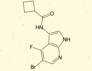 O=C(Nc1c[nH]c2ncc(Br)c(F)c12)C1CCC1